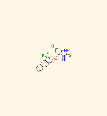 O=C(N(CCOc1cc(Cl)cc2[nH]c(=S)[nH]c12)Cc1ccccc1)C(F)(F)F